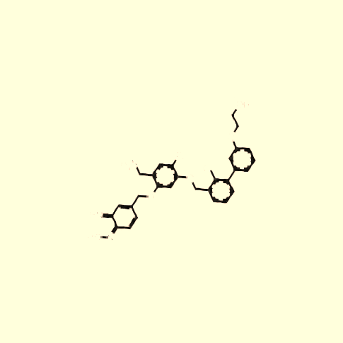 N=C1C=C(COc2cc(OCc3cccc(-c4cccc(OCCO)c4)c3Cl)c(Cl)cc2CN)C=C/C1=N/O